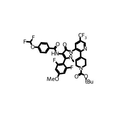 COc1cc(F)c(-c2c(NC(=O)c3ccc(OC(F)F)cc3)c(=O)n(-c3cc(C(F)(F)F)cnc3C3=CCN(C(=O)OC(C)(C)C)CC3)n2C)c(F)c1